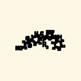 CC(C)(c1ccc(S(=O)(=O)/C=C/C#N)cc1)c1nnc(Nc2ccccc2)o1